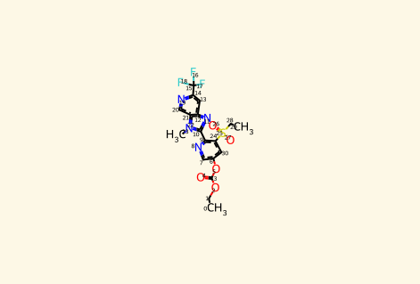 CCOC(=O)Oc1cnc(-c2nc3cc(C(F)(F)F)ncc3n2C)c(S(=O)(=O)CC)c1